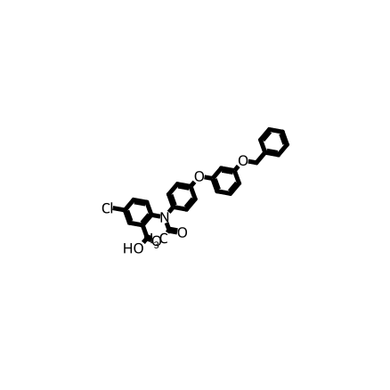 CC(=O)N(c1ccc(Oc2cccc(OCc3ccccc3)c2)cc1)c1ccc(Cl)cc1C(=O)O